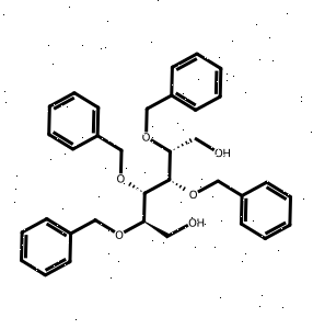 OC[C@@H](OCc1ccccc1)[C@H](OCc1ccccc1)[C@@H](OCc1ccccc1)[C@@H](CO)OCc1ccccc1